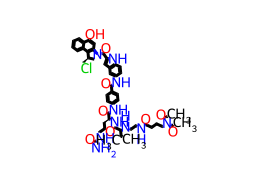 CC(=O)N(CCCC(=O)NCCN[C@H](C(=O)N[C@@H](CCCNC(N)=O)C(=O)Nc1ccc(C(=O)Nc2ccc3[nH]c(C(=O)N4C[C@@H](CCl)c5c4cc(O)c4ccccc54)cc3c2)cc1)C(C)C)C(C)=O